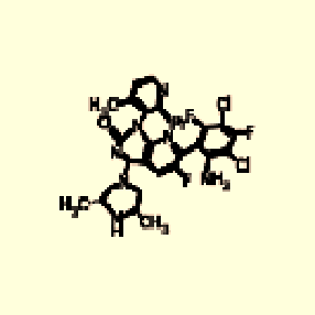 Cc1ccnc(C(C)C)c1-n1c(=O)nc(N2C[C@@H](C)N[C@@H](C)C2)c2cc(F)c(-c3c(N)c(Cl)c(F)c(Cl)c3F)nc21